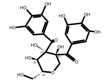 O=C(c1cc(O)c(O)c(O)c1)[C@]1(O)CO[C@H](CO)[C@@H](O)[C@@]1(O)C(=O)c1cc(O)c(O)c(O)c1